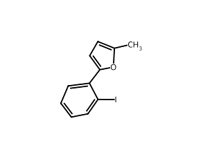 Cc1ccc(-c2ccccc2I)o1